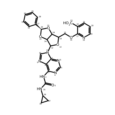 O=C(Nc1ncnc2c1ncn2C1OC(COc2ncccc2C(=O)O)C2O[C@H](c3ccccc3)OC21)NC1CC1